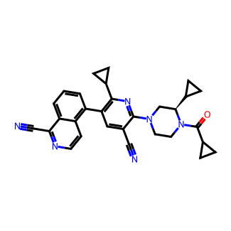 N#Cc1cc(-c2cccc3c(C#N)nccc23)c(C2CC2)nc1N1CCN(C(=O)C2CC2)[C@H](C2CC2)C1